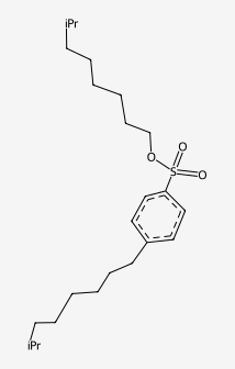 CC(C)CCCCCCOS(=O)(=O)c1ccc(CCCCCCC(C)C)cc1